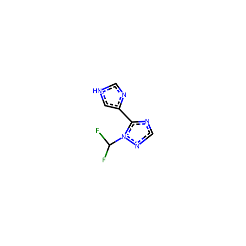 FC(F)n1ncnc1-c1c[nH]cn1